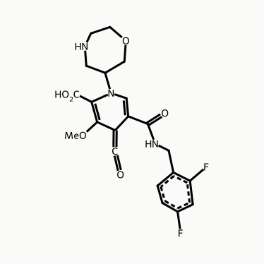 COC1=C(C(=O)O)N(C2CNCCOC2)C=C(C(=O)NCc2ccc(F)cc2F)C1=C=O